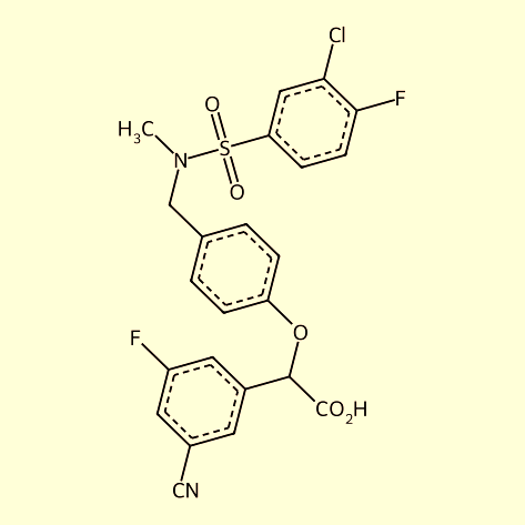 CN(Cc1ccc(OC(C(=O)O)c2cc(F)cc(C#N)c2)cc1)S(=O)(=O)c1ccc(F)c(Cl)c1